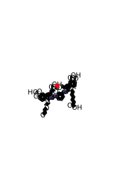 COCCOCCN1/C(=C/C=C2\CCCC(/C=C/C3=[N+](CCCCCC(=O)O)c4ccc(S(=O)(=O)O)cc4C3(C)CCOC)=C2Cl)C(C)(CCCS(=O)(=O)O)c2cc(S(=O)(=O)O)ccc21